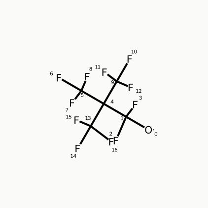 [O]C(F)(F)C(C(F)(F)F)(C(F)(F)F)C(F)(F)F